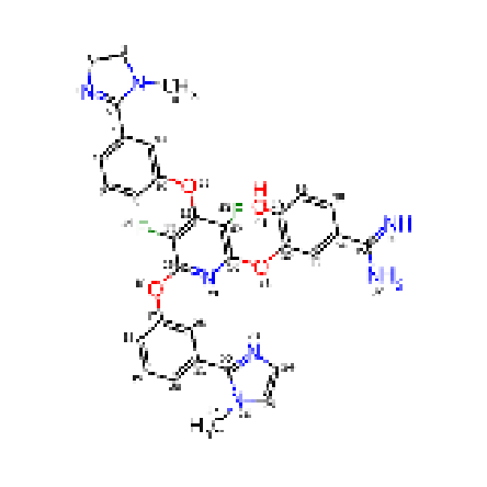 CN1CCN=C1c1cccc(Oc2c(F)c(Oc3cccc(-c4nccn4C)c3)nc(Oc3cc(C(=N)N)ccc3O)c2F)c1